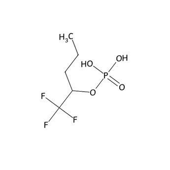 CCCC(OP(=O)(O)O)C(F)(F)F